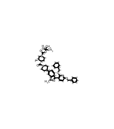 Cn1nc(-c2ccc(OCc3ccccc3)nc2OCc2ccccc2)c2ccc(C3CCN(C(=O)[C@H]4CCN(C(=O)OC(C)(C)C)C[C@H]4F)CC3)cc21